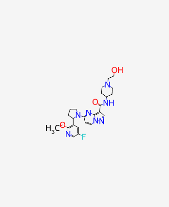 COc1ncc(F)cc1C1CCCN1c1ccn2ncc(C(=O)NC3CCN(CCO)CC3)c2n1